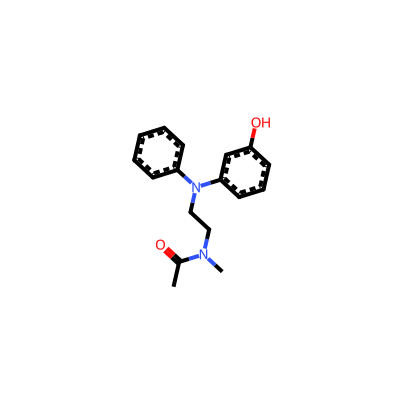 CC(=O)N(C)CCN(c1ccccc1)c1cccc(O)c1